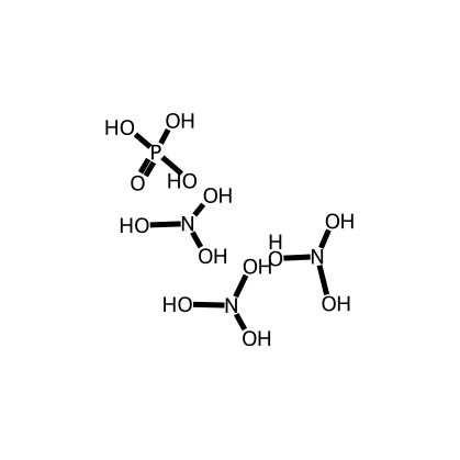 O=P(O)(O)O.ON(O)O.ON(O)O.ON(O)O